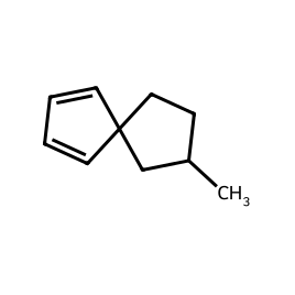 CC1CCC2(C=CC=C2)C1